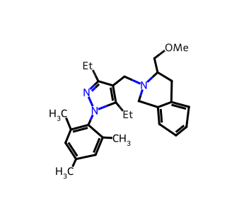 CCc1nn(-c2c(C)cc(C)cc2C)c(CC)c1CN1Cc2ccccc2CC1COC